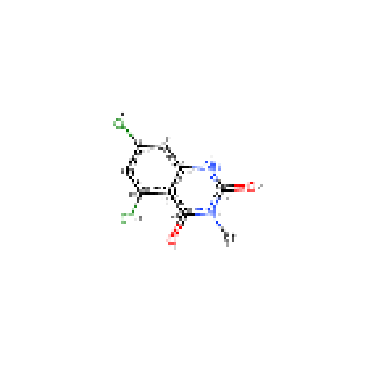 CCn1c(=O)[nH]c2cc(Cl)cc(Cl)c2c1=O